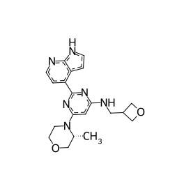 C[C@@H]1COCCN1c1cc(NCC2COC2)nc(-c2ccnc3[nH]ccc23)n1